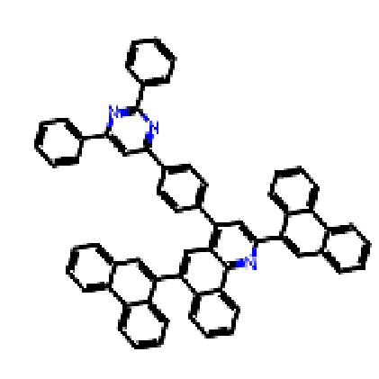 c1ccc(-c2cc(-c3ccc(-c4cc(-c5cc6ccccc6c6ccccc56)nc5c4cc(-c4cc6ccccc6c6ccccc46)c4ccccc45)cc3)nc(-c3ccccc3)n2)cc1